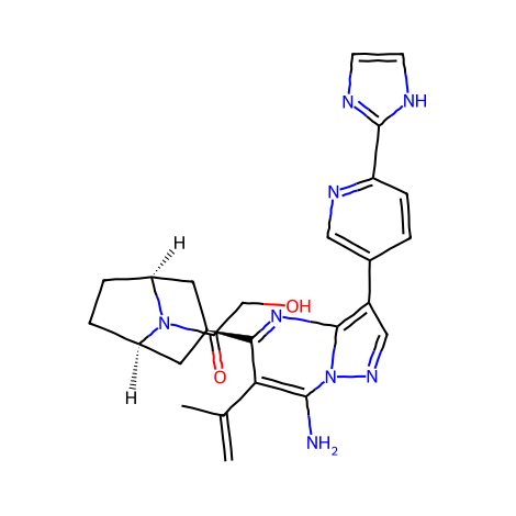 C=C(C)c1c([C@H]2C[C@H]3CC[C@@H](C2)N3C(=O)CO)nc2c(-c3ccc(-c4ncc[nH]4)nc3)cnn2c1N